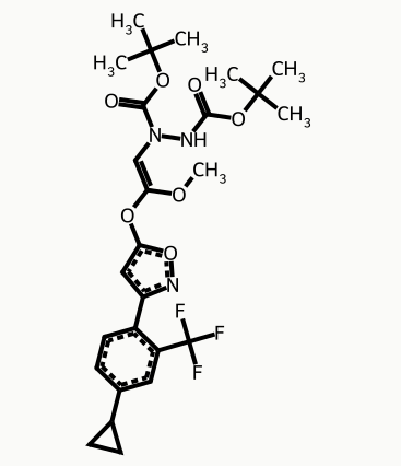 COC(=CN(NC(=O)OC(C)(C)C)C(=O)OC(C)(C)C)Oc1cc(-c2ccc(C3CC3)cc2C(F)(F)F)no1